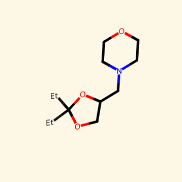 CCC1(CC)OCC(CN2CCOCC2)O1